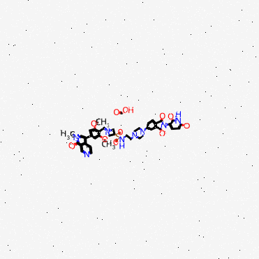 COc1cc(-c2cn(C)c(=O)c3cnccc23)cc(OC)c1CN1CC(S(=O)(=O)NCCN2CCN(c3ccc4c(c3)C(=O)N(C3CCC(=O)NC3=O)C4=O)CC2)C1.O=CO